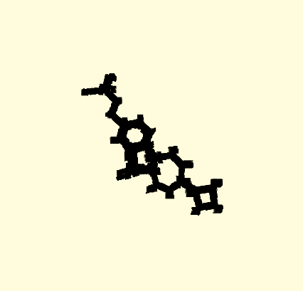 CN(C)CCc1ccc2c(c1)nc1n2CCN(C2CCC2)CC1